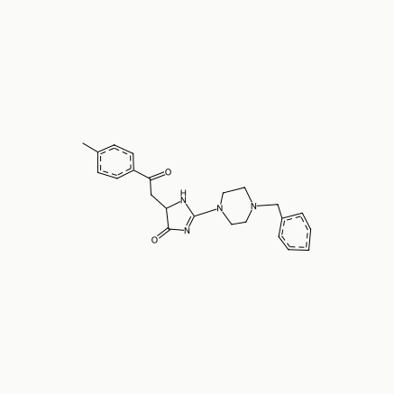 Cc1ccc(C(=O)CC2NC(N3CCN(Cc4ccccc4)CC3)=NC2=O)cc1